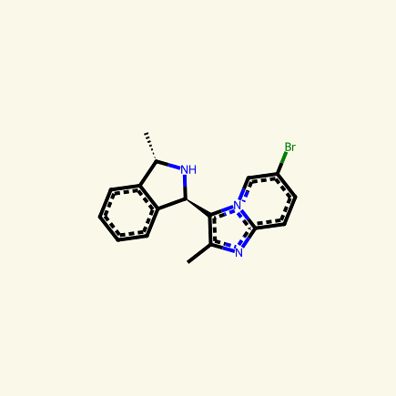 Cc1nc2ccc(Br)cn2c1[C@@H]1N[C@@H](C)c2ccccc21